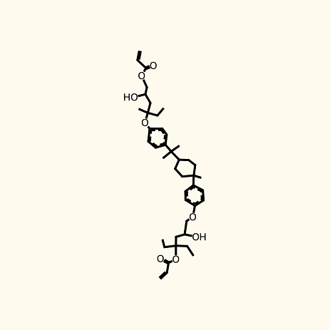 C=CC(=O)OCC(O)CC(C)(CC)Oc1ccc(C(C)(C)C2CCC(C)(c3ccc(OCC(O)CC(CC)(CC)OC(=O)C=C)cc3)CC2)cc1